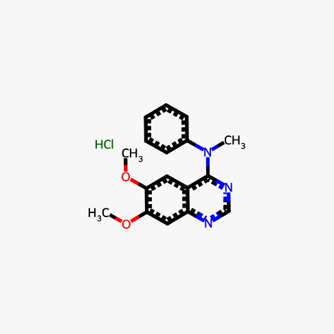 COc1cc2ncnc(N(C)c3ccccc3)c2cc1OC.Cl